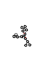 c1ccc(-c2ccc(-c3ccc(N(c4ccc(-c5ccc6c(c5)oc5ccccc56)cc4)c4cccc(-c5cccc6c5-c5ccccc5C6(c5ccccc5)c5ccccc5)c4)cc3)cc2-c2ccccc2)cc1